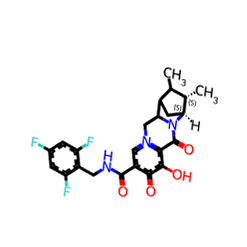 CC1C2C[C@@H]([C@H]1C)N1C(=O)c3c(O)c(=O)c(C(=O)NCc4c(F)cc(F)cc4F)cn3CC21